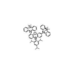 CC(C)c1cc(C(C)C)c(B2c3ccc(N4c5ccccc5[Si](C)(C)c5ccccc54)cc3Oc3c2cccc3N2c3ccccc3[Si](C)(C)c3ccccc32)c(C(C)C)c1